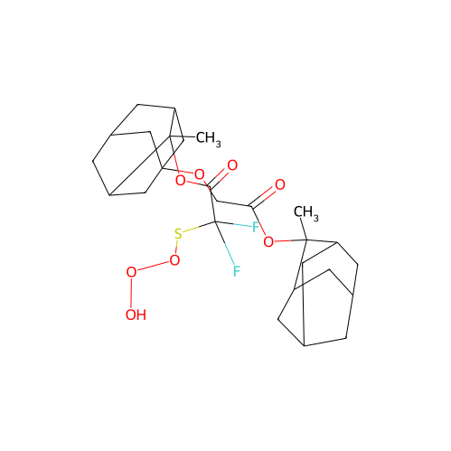 CC1(OC(=O)COC23CC4CC(C2)C(C)(OC(=O)C(F)(F)SOOO)C(C4)C3)C2CC3CC(C2)CC1C3